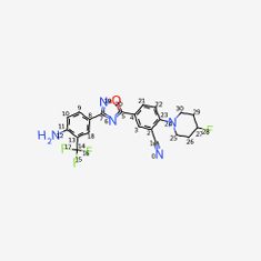 N#Cc1cc(-c2nc(-c3ccc(N)c(C(F)(F)F)c3)no2)ccc1N1CCC(F)CC1